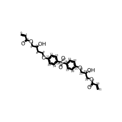 C=CC(=O)OCC(O)CCOc1ccc(S(=O)(=O)c2ccc(OCC(O)COC(=O)C=C)cc2)cc1